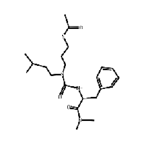 CC(=O)SCCCN(CCC(C)C)C(=O)N[C@@H](Cc1ccccc1)C(=O)N(C)C